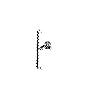 CCCCCCCCCCCCC(CCCCCCCCCCCC)NCCC[Si](OC)(OC)OC.Cl